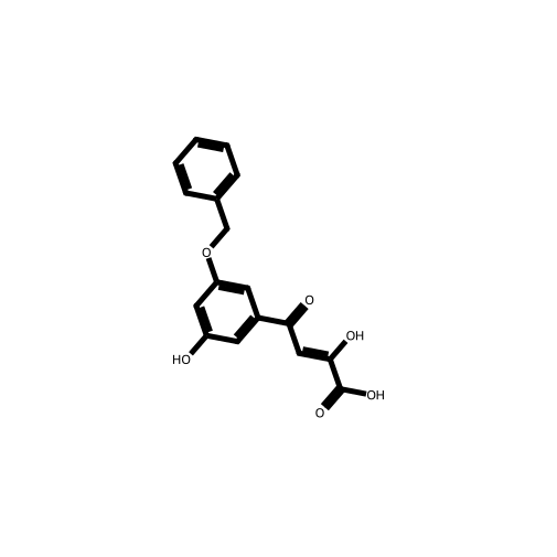 O=C(O)C(O)=CC(=O)c1cc(O)cc(OCc2ccccc2)c1